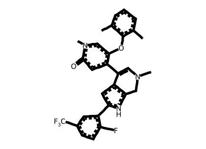 Cc1cccc(C)c1Oc1cn(C)c(=O)cc1C1=CN(C)Cc2[nH]c(-c3cc(C(F)(F)F)ccc3F)cc21